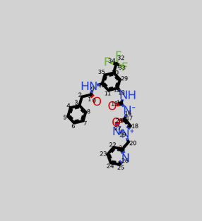 O=C(Cc1ccccc1)Nc1cc(NC(=O)[N-]c2c[n+](Cc3ccccn3)no2)cc(C(F)(F)F)c1